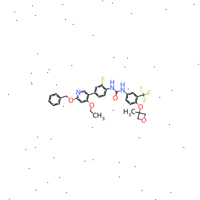 CCOc1cc(OCc2ccccc2)ncc1-c1ccc(NC(=O)Nc2ccc(OC3(C)COC3)c(C(F)(F)F)c2)c(F)c1